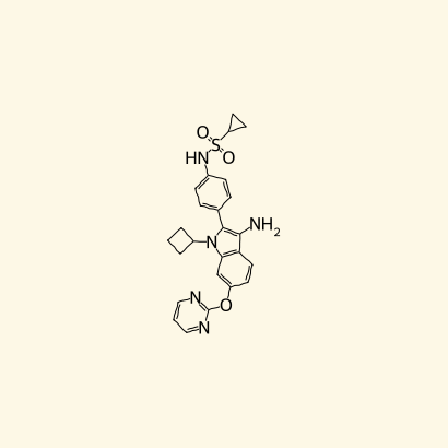 Nc1c(-c2ccc(NS(=O)(=O)C3CC3)cc2)n(C2CCC2)c2cc(Oc3ncccn3)ccc12